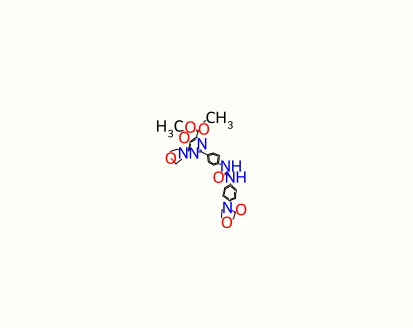 CCOC(=O)c1nc(-c2ccc(NC(=O)Nc3ccc(N4CCOCC4=O)cc3)cc2)nc(N2CCOCC2)c1OCC